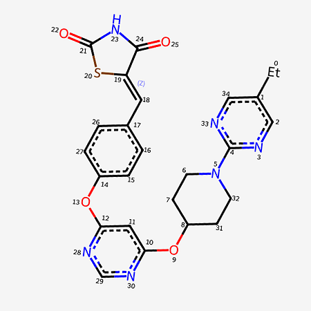 CCc1cnc(N2CCC(Oc3cc(Oc4ccc(/C=C5\SC(=O)NC5=O)cc4)ncn3)CC2)nc1